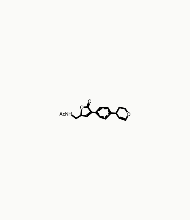 CC(=O)NCC1C=C(c2ccc(C3C=COCC3)cc2)C(=O)O1